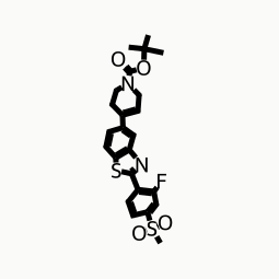 CC(C)(C)OC(=O)N1CC=C(c2ccc3sc(-c4ccc(S(C)(=O)=O)cc4F)nc3c2)CC1